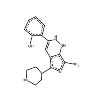 Nc1nn(C2CCNCC2)c2c1NNC(c1ccccc1O)=C2